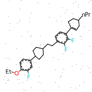 CCCC1CC=C(c2ccc(CCC3CCC(c4ccc(OCC)c(F)c4)CC3)c(F)c2F)CC1